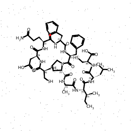 CC[C@H](C)[C@H](NC(=O)[C@H](C)NC(=O)[C@@H]1CCCN1C(=O)[C@H](Cc1ccccc1)NC(=O)[C@H](Cc1ccccc1)NC(=O)[C@H](CCC(N)=O)NC(=O)[C@H](CC(=O)O)NC(=O)[C@@H](N)CS)C(=O)N[C@@H](CC(C)C)C(=O)N[C@@H](CS)C(=O)O